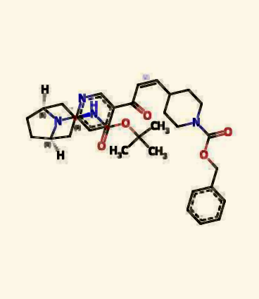 CC(C)(C)OC(=O)N[C@H]1C[C@H]2CC[C@@H](C1)N2c1ccc(C(=O)/C=C\C2CCN(C(=O)OCc3ccccc3)CC2)cn1